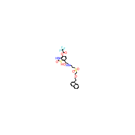 O=C(Oc1ccc([C@@H](O)CNCCCS(=O)(=O)CCOCCc2cccc3ccccc23)c2sc(=O)[nH]c12)C(F)(F)F